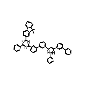 CC1(C)c2ccccc2-c2ccc(-c3nc(-c4ccccc4)nc(-c4cccc(-c5cccc(-c6cc(-c7cccc(-c8ccccc8)c7)nc(-c7ccccc7)n6)c5)c4)n3)cc21